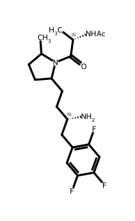 CC(=O)N[C@@H](C)C(=O)N1C(C)CCC1CC[C@H](N)Cc1cc(F)c(F)cc1F